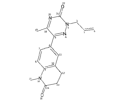 C=CCn1nc(-c2ccc3c(c2)CCC(=O)N3C)c(C)nc1=O